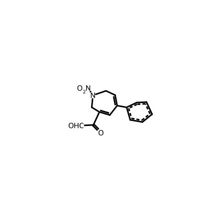 O=CC(=O)C1=CC(c2ccccc2)=CCN([N+](=O)[O-])C1